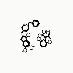 CC(C)C(C(=O)O)N1C(=O)CCCC1=O.COc1cc2c(cc1OC)C(=O)[C@@H](CC1CCN(Cc3ccccc3)CC1)C2